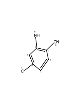 N#Cc1ccc(Cl)cc1[NH]